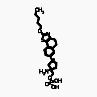 CCCCCOc1nc2c(s1)-c1ccc([C@H]3CC[C@](N)(COP(=O)(O)O)C3)cc1CC2